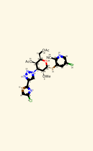 CO[C@@H]1[C@@H](n2cc(-c3nc(Cl)cs3)nn2)[C@@H](OC(C)=O)[C@@H](COC(C)=O)O[C@@H]1Sc1cc(Br)cnc1C#N